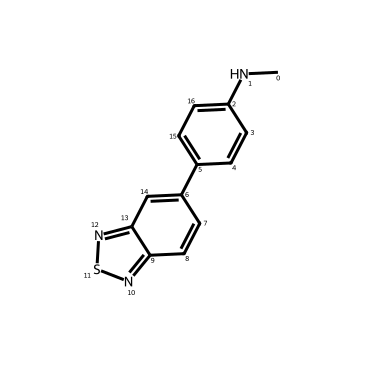 CNc1ccc(-c2ccc3nsnc3c2)cc1